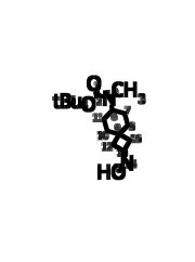 CN(C(=O)OC(C)(C)C)C1CCC2(CC1)CC(=NO)C2